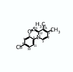 Cc1ccn(-c2ccc(Cl)cc2)c(=S=O)c1C